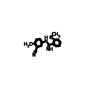 COc1ccccc1C(=N)Nc1ccc(C)c(C#N)c1